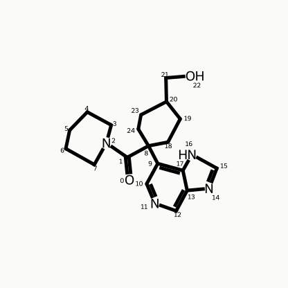 O=C(N1CCCCC1)C1(c2cncc3nc[nH]c23)CCC(CO)CC1